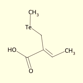 CC=C(C[Te]C)C(=O)O